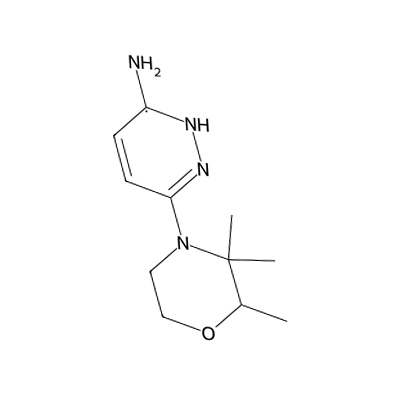 CC1OCCN(C2=NN[C](N)C=C2)C1(C)C